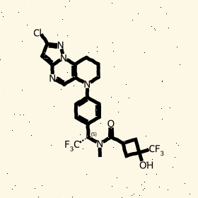 CN(C(=O)C1CC(O)(C(F)(F)F)C1)[C@@H](c1ccc(N2CCCc3c2cnc2cc(Cl)nn32)cc1)C(F)(F)F